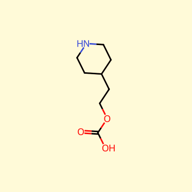 O=C(O)OCCC1CCNCC1